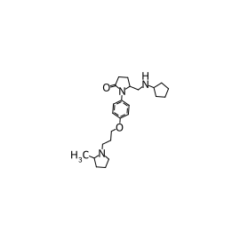 CC1CCCN1CCCOc1ccc(N2C(=O)CCC2CNC2CCCC2)cc1